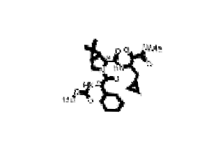 CNC(=O)C(=O)C(CC1CC1)NC(=O)[C@@H]1C2C(CN1C(=O)[C@@H](NC(=O)OC(C)(C)C)C1CCCCC1)C2(C)C